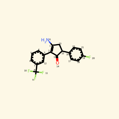 NC1=C(c2cccc(C(F)(F)F)c2)C(=O)C(c2ccc(F)cc2)C1